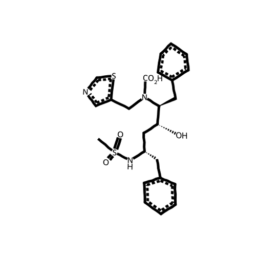 CS(=O)(=O)N[C@@H](Cc1ccccc1)C[C@@H](O)[C@H](Cc1ccccc1)N(Cc1cncs1)C(=O)O